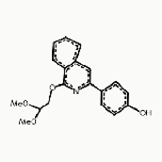 COC(COc1nc(-c2ccc(O)cc2)cc2ccccc12)OC